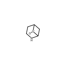 [O-][S+]1C2CCNC1C2